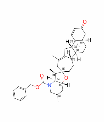 CC1=C2C[C@H]3[C@@H](CC[C@@H]4CC(=O)C=C[C@@]43C)[C@@H]2CC[C@@]2(C1)O[C@@H]1C[C@H](C)CN(C(=O)OCc3ccccc3)[C@H]1[C@H]2C